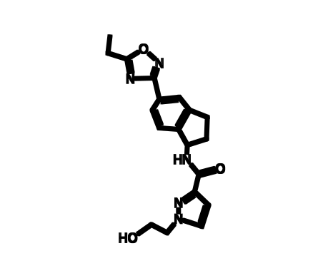 CCc1nc(-c2ccc3c(c2)CCC3NC(=O)c2ccn(CCO)n2)no1